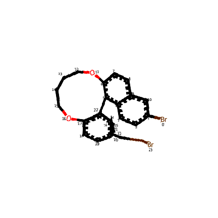 Brc1ccc2c3c(ccc2c1)OCCCCOc1ccc2cc(Br)ccc2c1-3